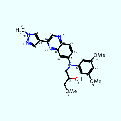 COCC(O)CN(c1cc(OC)cc(OC)c1)c1ccc2ncc(-c3cnn(C)c3)nc2c1